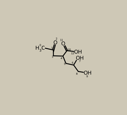 CC(=O)CC(CC(O)CO)C(=O)O